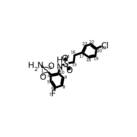 NS(=O)(=O)c1cc(F)ccc1NS(=O)(=O)CCc1ccc(Cl)cc1